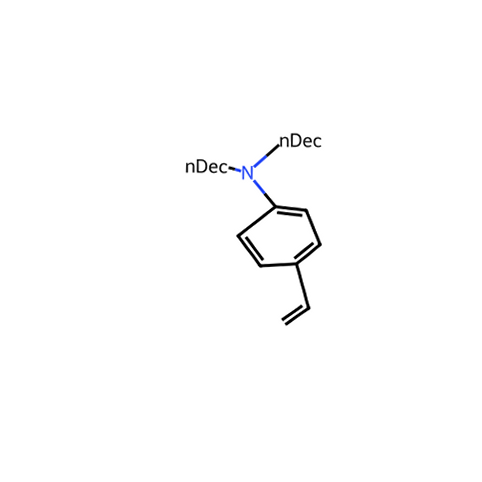 C=Cc1ccc(N(CCCCCCCCCC)CCCCCCCCCC)cc1